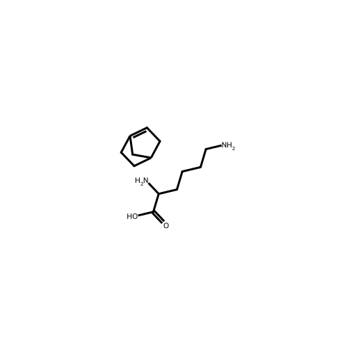 C1=C2CCC(C1)C2.NCCCCC(N)C(=O)O